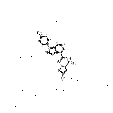 CC[C@H](NC(=O)c1cncc2c1cnn2-c1ccc(F)cc1)c1cc(Br)no1